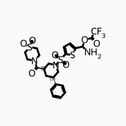 NC(OC(=O)C(F)(F)F)c1ccc(S(=O)(=O)N2C[C@H](C(=O)N3CCS(=O)(=O)CC3)C[C@@H](c3ccccc3)C2)s1